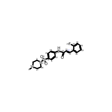 CN1CCN(S(=O)(=O)c2ccc(NC(=O)/C=C/c3ccccc3F)cc2)CC1